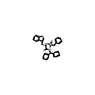 O=C(NC(c1ccccc1)c1ccccc1)[C@@H](Cc1csc2ccccc12)NS(=O)(=O)Cc1ccccc1